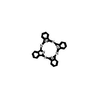 Cn1c2nc3nc(nc4[nH]c(nc5nc(nc1c1ccccc12)-c1ccccc1-5)c1ccccc41)-c1ccccc1-3